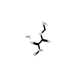 CCOC(=O)C(=O)NCl.Cl